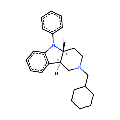 c1ccc(N2c3ccccc3[C@@H]3CN(CC4CCCCC4)CC[C@H]32)cc1